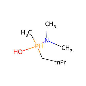 CCCC[PH](C)(O)N(C)C